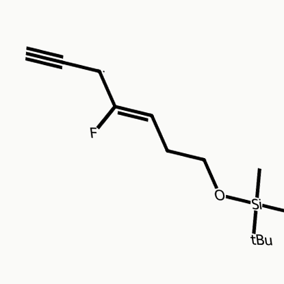 C#C[CH]/C(F)=C/CCO[Si](C)(C)C(C)(C)C